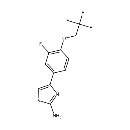 Nc1nc(-c2ccc(OCC(F)(F)F)c(F)c2)cs1